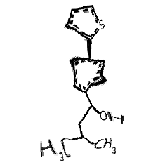 CC(C)CC(O)c1ccc(-c2cccs2)cc1